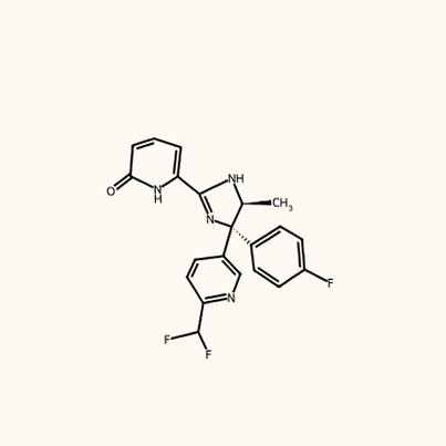 C[C@@H]1NC(c2cccc(=O)[nH]2)=N[C@]1(c1ccc(F)cc1)c1ccc(C(F)F)nc1